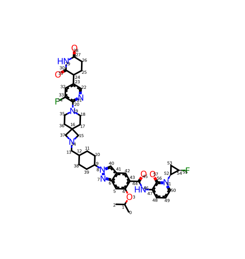 CC(C)Oc1cc2nn(C3CCC(CN4CC5(CCN(c6ncc(C7CCC(=O)NC7=O)cc6F)CC5)C4)CC3)cc2cc1C(=O)Nc1cccn([C@H]2C[C@H]2F)c1=O